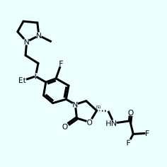 CCI(CCN1CCCN1C)c1ccc(N2C[C@H](CNC(=O)C(F)F)OC2=O)cc1F